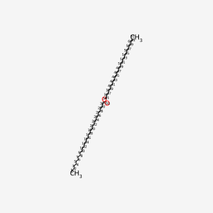 CCCCCCCCCCCCCCCCCCCCCCCCCCCCCCCCC(=O)OCCCCCCCCCCCCCCCCCCCCCCCCCCCC